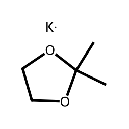 CC1(C)OCCO1.[K]